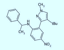 CC(Nc1ccc([N+](=O)[O-])cc1-c1nn(C)cc1C(C)(C)C)c1ccccc1